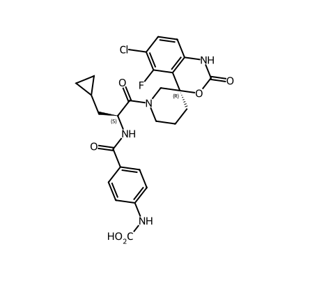 O=C(O)Nc1ccc(C(=O)N[C@@H](CC2CC2)C(=O)N2CCC[C@@]3(C2)OC(=O)Nc2ccc(Cl)c(F)c23)cc1